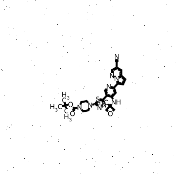 CC1(Nc2cc(-c3ccc4cc(C#N)cnn34)ncc2-c2nnc(N3CCN(C(=O)OC(C)(C)C)CC3)s2)COC1